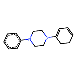 C1=CCCC(N2CCN(c3ccccc3)CC2)=C1